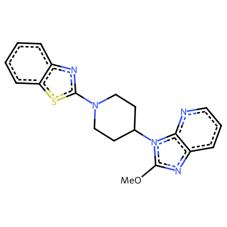 COc1nc2cccnc2n1C1CCN(c2nc3ccccc3s2)CC1